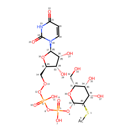 CC(=O)S[C@H]1[C@H](OP(=O)(O)OP(=O)(O)OOC[C@H]2O[C@@H](n3ccc(=O)[nH]c3=O)[C@H](O)[C@@H]2O)O[C@H](CO)[C@H](O)[C@@H]1O